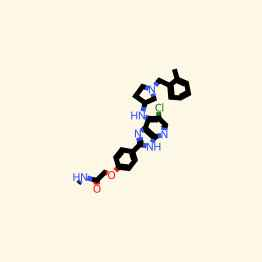 CNC(=O)COc1ccc(-c2nc3c(NC4CCN(Cc5ccccc5C)C4)c(Cl)cnc3[nH]2)cc1